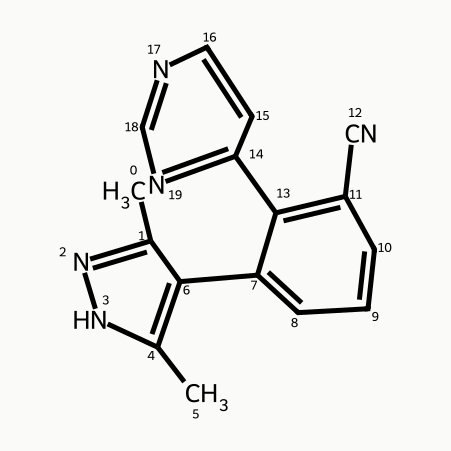 Cc1n[nH]c(C)c1-c1cccc(C#N)c1-c1ccncn1